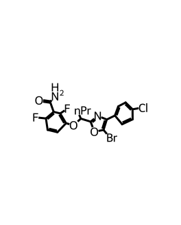 CCCC(Oc1ccc(F)c(C(N)=O)c1F)c1nc(-c2ccc(Cl)cc2)c(Br)o1